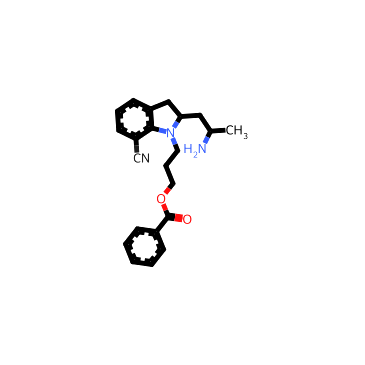 CC(N)CC1Cc2cccc(C#N)c2N1CCCOC(=O)c1ccccc1